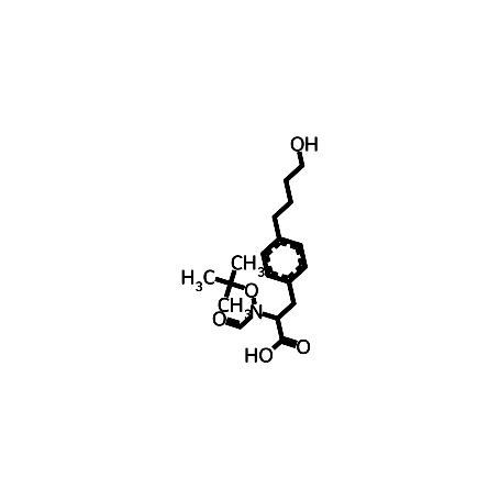 CC(C)(C)ON(C=O)C(Cc1ccc(CCCCO)cc1)C(=O)O